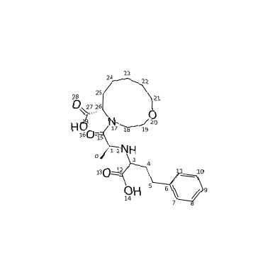 C[C@H](NC(CCc1ccccc1)C(=O)O)C(=O)N1CCOCCCCC[C@H]1C(=O)O